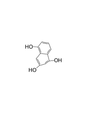 Oc1cc(O)c2cccc(O)c2c1